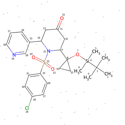 CC(C)(C)[Si](C)(C)OC1(C2CC(=O)CC(c3cccnc3)N2S(=O)(=O)c2ccc(Cl)cc2)CC1